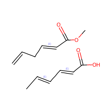 C/C=C/C=C/C(=O)O.C=CC/C=C/C(=O)OC